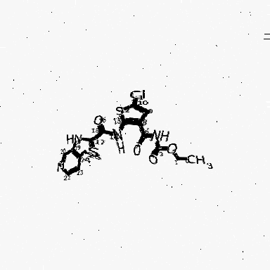 CCOC(=O)NC(=O)c1cc(Cl)sc1NC(=O)C1Nc2cnccc2S1